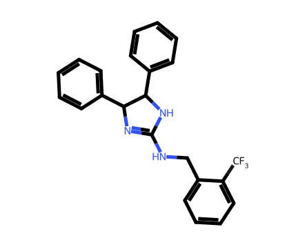 FC(F)(F)c1ccccc1CNC1=NC(c2ccccc2)C(c2ccccc2)N1